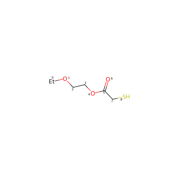 CCOCCOC(=O)CS